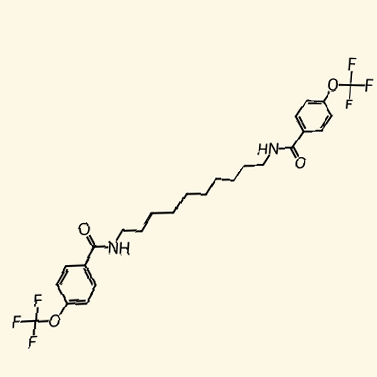 O=C(NCCCCCCCCCCNC(=O)c1ccc(OC(F)(F)F)cc1)c1ccc(OC(F)(F)F)cc1